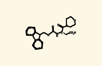 O=C(O)C[C@H](NC(=O)OCC1c2ccccc2-c2ccccc21)C(=O)N1CCOCC1